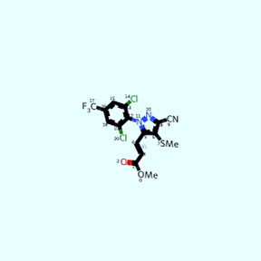 COC(=O)/C=C/c1c(SC)c(C#N)nn1-c1c(Cl)cc(C(F)(F)F)cc1Cl